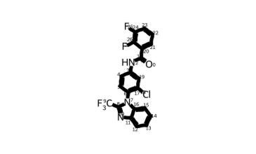 O=C(Nc1ccc(-n2c(C(F)(F)F)nc3ccccc32)c(Cl)c1)c1cccc(F)c1F